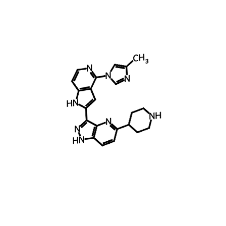 Cc1cn(-c2nccc3[nH]c(-c4n[nH]c5ccc(C6CCNCC6)nc45)cc23)cn1